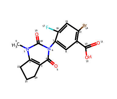 Cn1c2c(c(=O)n(-c3cc(C(=O)O)c(Br)cc3F)c1=O)CCC2